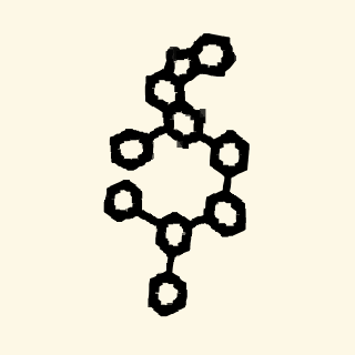 c1ccc(-c2cc(-c3ccccc3)cc(-c3cccc(-c4cccc(-c5nc(-c6ccccc6)c6ccc7oc8ccccc8c7c6n5)c4)c3)c2)cc1